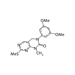 COc1cc(OC)cc(N2Cc3cnc(SC)nc3N(C)C2=O)c1